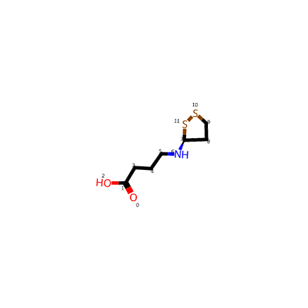 O=C(O)CCCN[C@@H]1CCSS1